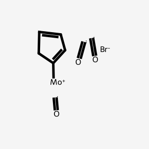 [Br-].[C]=O.[C]=O.[C]=O.[Mo+][C]1=CC=CC1